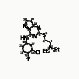 CCN(CC)CCSc1nc(Nc2ccc(F)c(Cl)c2)n2nccc2n1